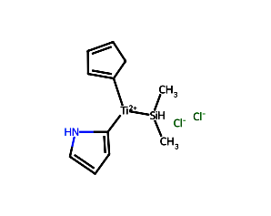 C[SiH](C)[Ti+2]([C]1=CC=CC1)[c]1ccc[nH]1.[Cl-].[Cl-]